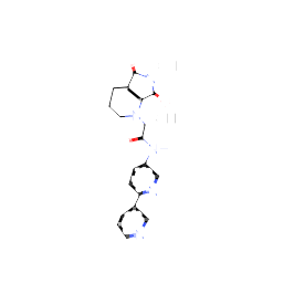 C[C@H](C(=O)Nc1ccc(-c2cccnc2)nc1)N1CCCC2=C1C(=O)N(C)C2=O